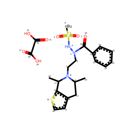 CCCCS(=O)(=O)NN(CCN1C(C)Cc2ccsc2C1C)C(=O)c1ccccc1.O=C(O)C(=O)O